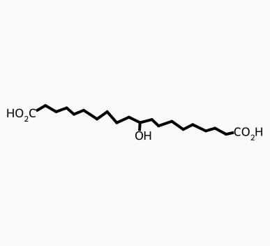 O=C(O)CCCCCCCCCC(O)CCCCCCCCC(=O)O